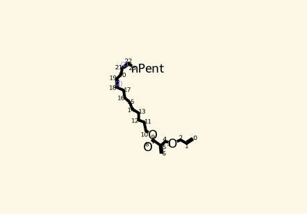 C=CCOCC(=C)C(=O)OCCCCCCCC/C=C\C/C=C\CCCCC